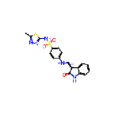 Cc1nnc(NS(=O)(=O)c2ccc(N/C=C3\C(=O)Nc4ccccc43)cc2)s1